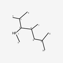 CPC(C(C)C)C(C)CC(C)C